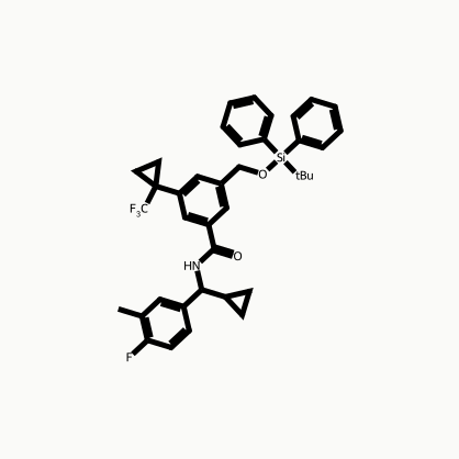 Cc1cc(C(NC(=O)c2cc(CO[Si](c3ccccc3)(c3ccccc3)C(C)(C)C)cc(C3(C(F)(F)F)CC3)c2)C2CC2)ccc1F